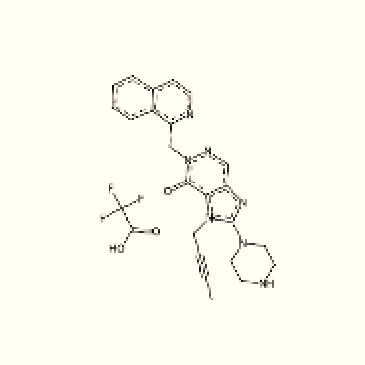 CC#CCn1c(N2CCNCC2)nc2cnn(Cc3nccc4ccccc34)c(=O)c21.O=C(O)C(F)(F)F